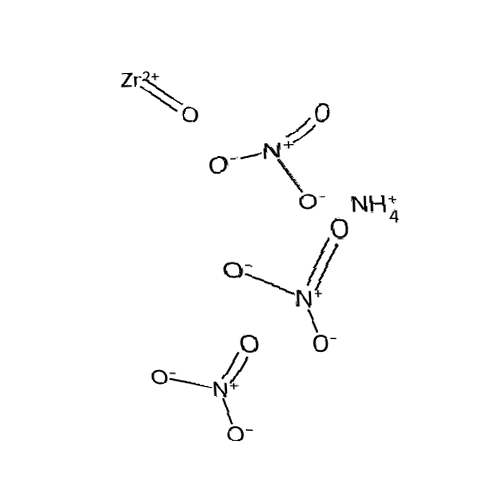 O=[N+]([O-])[O-].O=[N+]([O-])[O-].O=[N+]([O-])[O-].[NH4+].[O]=[Zr+2]